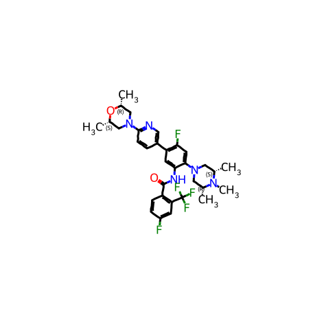 C[C@@H]1CN(c2ccc(-c3cc(NC(=O)c4ccc(F)cc4C(F)(F)F)c(N4C[C@@H](C)N(C)[C@@H](C)C4)cc3F)cn2)C[C@H](C)O1